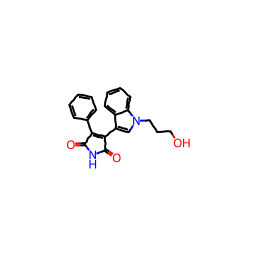 O=C1NC(=O)C(c2cn(CCCO)c3ccccc23)=C1c1ccccc1